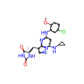 COc1ccc(Cl)cc1Nc1cc(NC2CC2)n2ncc(/C=C3\NC(=O)NC3=O)c2n1